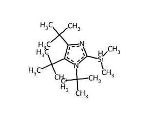 C[SiH](C)c1nc(C(C)(C)C)c(C(C)(C)C)n1C(C)(C)C